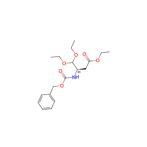 CCOC(=O)C[C@@H](NC(=O)OCc1ccccc1)C(OCC)OCC